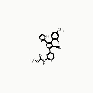 COC(=O)Nc1cc(-c2sc(-c3ncc[nH]3)c(-c3ccc(C)cc3I)c2C#N)ccn1